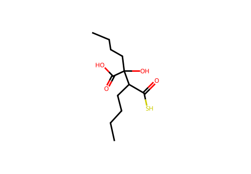 CCCCC(C(=O)S)C(O)(CCCC)C(=O)O